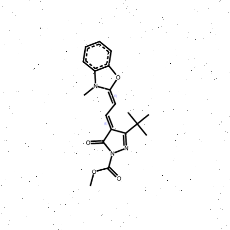 COC(=O)N1N=C(C(C)(C)C)/C(=C\C=C2\Oc3ccccc3N2C)C1=O